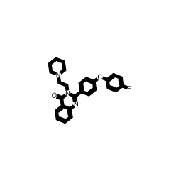 O=c1c2ccccc2nc(-c2ccc(Oc3ccc(F)cc3)cc2)n1CCN1CCCCC1